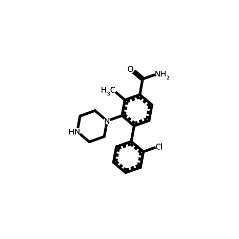 Cc1c(C(N)=O)ccc(-c2ccccc2Cl)c1N1CCNCC1